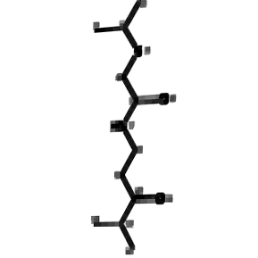 CC(C)SCC(=O)NCCC(=O)C(C)C